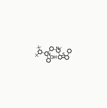 Cc1cc(-c2cccc3c2sc2c(-c4ccccc4)cccc23)cc(-c2cccc(-c3cc(-c4cc(C(C)(C)C)cc(C(C)(C)C)c4)cc(-c4ccccc4O)n3)c2)n1